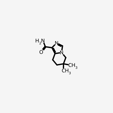 CC1(C)CCc2c(C(N)=O)ncn2C1